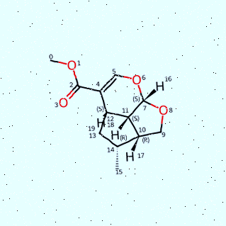 COC(=O)C1=CO[C@@H]2OC[C@H]3[C@@H]2[C@@H]1C[C@H]3C